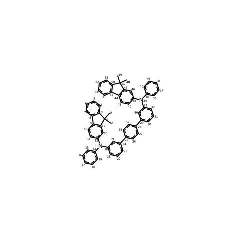 CC1(C)c2ccccc2-c2ccc(N(c3ccccc3)c3cccc(-c4ccc(-c5cccc(N(c6ccccc6)c6ccc7c(c6)C(C)(C)c6ccccc6-7)c5)cc4)c3)cc21